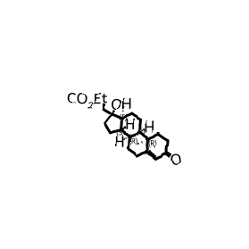 CCOC(=O)CC1(O)CC[C@H]2[C@@H]3CCC4=CC(=O)CC[C@]4(C)[C@@H]3CC[C@@]21C